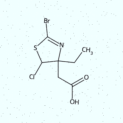 CCC1(CC(=O)O)N=C(Br)SC1Cl